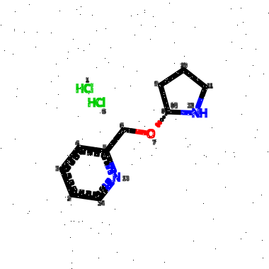 Cl.Cl.c1ccc(CO[C@@H]2CCCN2)nc1